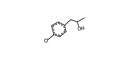 [CH2]C(O)Cc1ccc(Cl)cc1